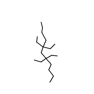 CCCCC(CC)(CC)CC(CC)(CC)CCCC